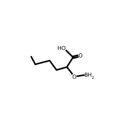 BOC(CCCC)C(=O)O